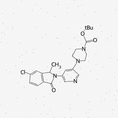 CC1c2cc(Cl)ccc2C(=O)N1c1cncc(N2CCN(C(=O)OC(C)(C)C)CC2)c1